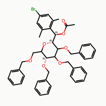 CC(=O)O[C@H](c1c(C)cc(Br)cc1C)[C@H]1OC(COCc2ccccc2)[C@@H](OCc2ccccc2)C(OCc2ccccc2)C1OCc1ccccc1